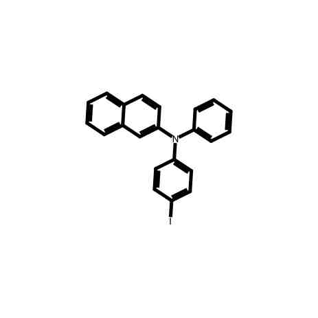 Ic1ccc(N(c2ccccc2)c2ccc3ccccc3c2)cc1